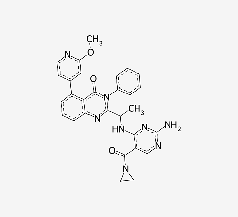 COc1cc(-c2cccc3nc(C(C)Nc4nc(N)ncc4C(=O)N4CC4)n(-c4ccccc4)c(=O)c23)ccn1